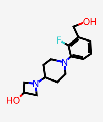 OCc1cccc(N2CCC(N3CC(O)C3)CC2)c1F